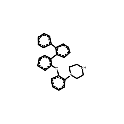 c1ccc(-c2ccccc2-c2ccccc2Oc2ccccc2N2CCNCC2)cc1